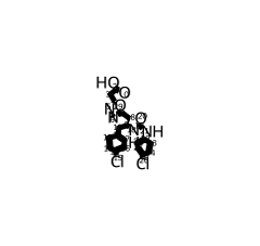 O=C(O)Cc1nnc(C[C@H](Cc2ccc(Cl)cc2)NC(=O)Nc2ccc(Cl)cc2)o1